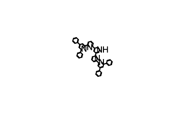 C1=C(c2cccc(-c3cc(-c4ccccc4)cc(-c4ccccc4)n3)n2)C=C(c2cccc(-c3cc(-c4ccccc4)cc(-c4ccccc4)n3)n2)CN1